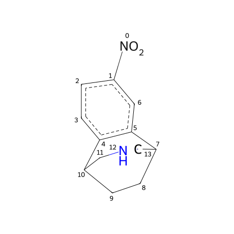 O=[N+]([O-])c1ccc2c(c1)C1CCC2CNC1